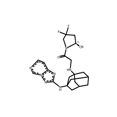 N#C[C@@H]1CC(F)(F)CN1C(=O)CNC12CC3CC(C1)CC(Nc1nc4ccncn4n1)(C3)C2